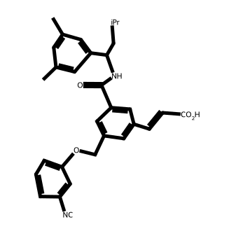 [C-]#[N+]c1cccc(OCc2cc(/C=C/C(=O)O)cc(C(=O)NC(CC(C)C)c3cc(C)cc(C)c3)c2)c1